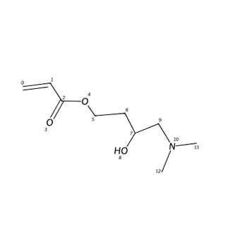 C=CC(=O)OCCC(O)CN(C)C